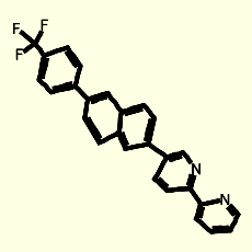 FC(F)(F)c1ccc(-c2ccc3cc(-c4ccc(-c5ccccn5)nc4)ccc3c2)cc1